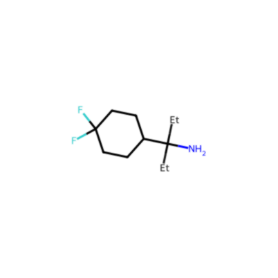 CCC(N)(CC)C1CCC(F)(F)CC1